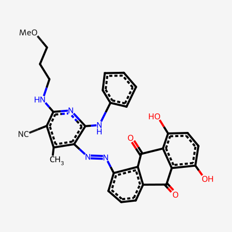 COCCCNc1nc(Nc2ccccc2)c(/N=N/c2cccc3c2C(=O)c2c(O)ccc(O)c2C3=O)c(C)c1C#N